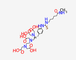 CNC(=O)CCCCCNC(=S)Nc1ccc(C[C@H](CN(CCN(CC(=O)O)CC(=O)O)CC(=O)O)N(CC(=O)O)CC(=O)O)cc1